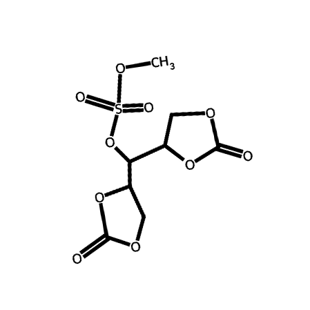 COS(=O)(=O)OC(C1COC(=O)O1)C1COC(=O)O1